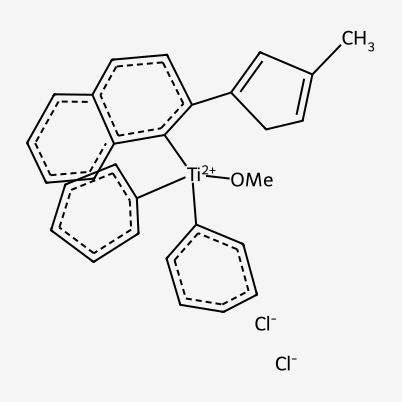 C[O][Ti+2]([c]1ccccc1)([c]1ccccc1)[c]1c(C2=CC(C)=CC2)ccc2ccccc12.[Cl-].[Cl-]